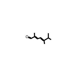 C/C(C=O)=C\C=C(/C)C(C)C